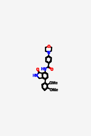 COc1cccc(-c2ccc(NC(=O)c3ccc(N4CCOCC4)cc3)c3c2CNC3=O)c1OC